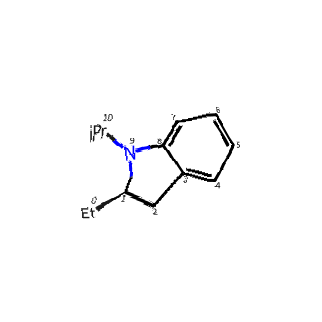 CC[C@@H]1Cc2ccccc2N1C(C)C